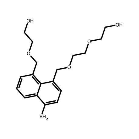 Bc1ccc(COCCOCCO)c2c(COCCO)cccc12